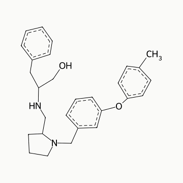 Cc1ccc(Oc2cccc(CN3CCCC3CNC(CO)Cc3ccccc3)c2)cc1